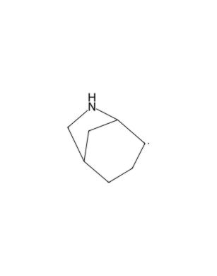 [CH]1CCC2CNC1C2